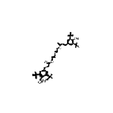 C=C(CCc1cc(C(C)(C)C)c(O)c(C(C)(C)C)c1)OCCSCCOC(=O)CCc1cc(C(C)(C)C)c(O)c(C(C)(C)C)c1